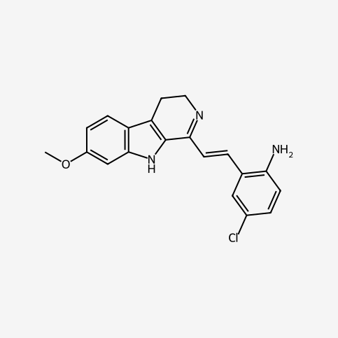 COc1ccc2c3c([nH]c2c1)C(/C=C/c1cc(Cl)ccc1N)=NCC3